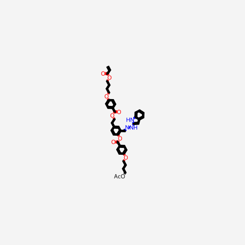 C=CC(=O)OCCCCOc1ccc(C(=O)OCCc2ccc(OC(=O)c3ccc(OCCCCOC(C)=O)cc3)c(/C=N/Nc3cc4ccccc4[nH]3)c2)cc1